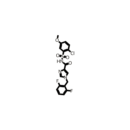 COc1ccc(Cl)c(S(=O)(=O)NC(=O)c2cn(Cc3c(F)cccc3F)cn2)c1